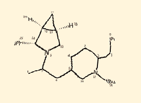 CC(C)CC1CCC(CC(C)N2C[C@@H]3C[C@@H]3[C@H]2C(C)C)CN1C(C)(C)C